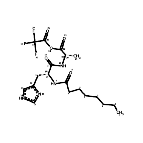 CCCCCCCC(=O)N[C@H](Cc1c[nH]cn1)C(=O)N[C@@H](C)C(=O)OC(=O)C(F)(F)F